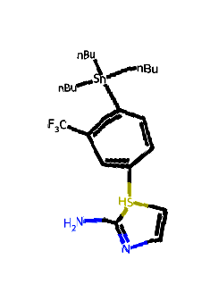 CCC[CH2][Sn]([CH2]CCC)([CH2]CCC)[c]1ccc([SH]2C=CN=C2N)cc1C(F)(F)F